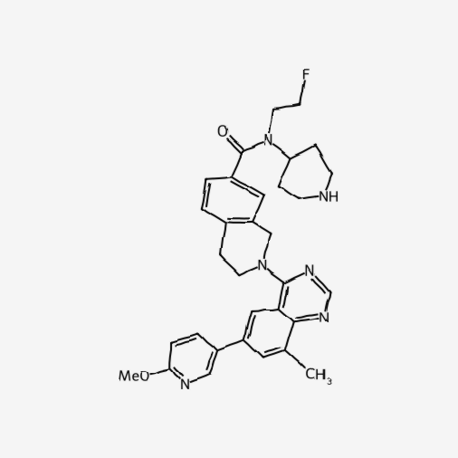 COc1ccc(-c2cc(C)c3ncnc(N4CCc5ccc(C(=O)N(CCF)C6CCNCC6)cc5C4)c3c2)cn1